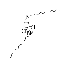 CCCCCCCCCCCC[N+](C)(C)CC1=CC(Cl)C(Cl)(C[N+](C)(C)CCCCCCCCCCCC)C=C1